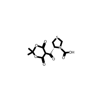 CC1(C)OC(=O)C(C(=O)[C@@H]2CSCN2C(=O)O)C(=O)O1